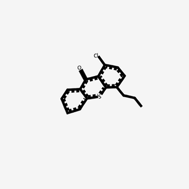 CCCc1ccc(Cl)c2c(=O)c3ccccc3sc12